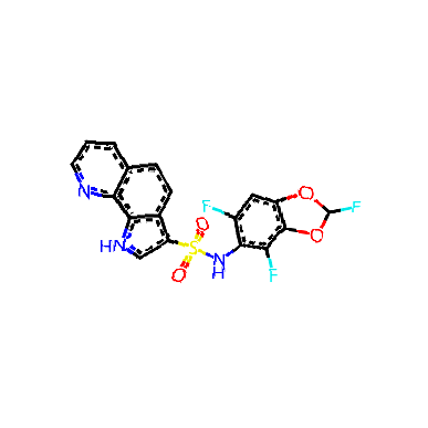 O=S(=O)(Nc1c(F)cc2c(c1F)OC(F)O2)c1c[nH]c2c1ccc1cccnc12